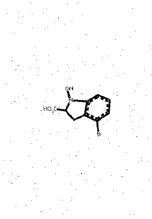 O=C(O)C1Cc2c(Br)cccc2N1O